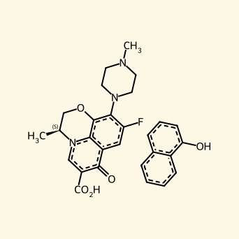 C[C@H]1COc2c(N3CCN(C)CC3)c(F)cc3c(=O)c(C(=O)O)cn1c23.Oc1cccc2ccccc12